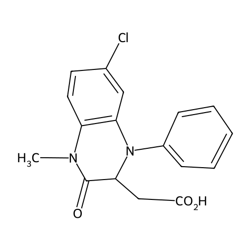 CN1C(=O)C(CC(=O)O)N(c2ccccc2)c2cc(Cl)ccc21